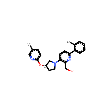 CCc1ccccc1-c1ccc(N2CC[C@H](Oc3ccc(C(F)(F)F)cn3)C2)c(CO)n1